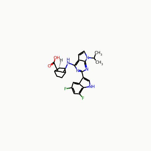 CC(C)n1ccc2c(NC3C4CCC(CC4)[C@H]3C(=O)O)nc(-c3c[nH]c4c(F)cc(F)cc34)nc21